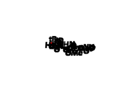 COc1cc2c(Oc3ccc(NC(=O)c4ccccc4)cc3)ccnc2cc1OCC[C@H](NC(=O)OC(C)(C)C)C(=O)O[C@]12CC[C@H](CC1)C2